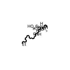 CC/C=C\C/C=C\C/C=C\C/C=C\C/C=C\C/C=C\CCC(=O)NCCSSC(C)(C)[C@@H](CNC(=O)O)NC(=O)c1cccnc1